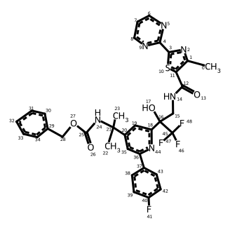 Cc1nc(-c2ncccn2)sc1C(=O)NCC(O)(c1cc(C(C)(C)NC(=O)OCc2ccccc2)cc(-c2ccc(F)cc2)n1)C(F)(F)F